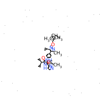 Cc1nn(COCC[Si](C)(C)C)c(C2CC2)c1-c1ccc(NC(=O)C(NC(=O)c2ccnn2C(C)C)C(C2CC2)C2CC2)cc1